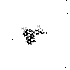 C=CC(=O)N1C[C@H](C)N(c2nc(=O)n(-c3c(C)ccnc3C(C)C)c3nc(-c4c(F)cccc4C#N)c(Cl)cc23)C[C@H]1C